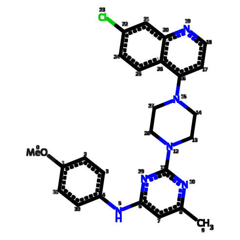 COc1ccc(Nc2cc(C)nc(N3CCN(c4ccnc5cc(Cl)ccc45)CC3)n2)cc1